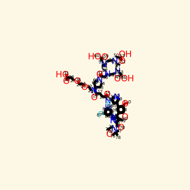 COc1cc2c(cc1-c1cncc(NC(=O)CCC(=O)N(CCOCCOCCC(=O)O)C3CCN(C(=O)CN4CCN(CC(=O)O)CCN(CC(=O)O)CCN(CC(=O)O)CC4)CC3)c1)-c1c(c(C(=O)N3CCOCC3(C)C)nn1-c1cc(F)cc(F)c1)CO2